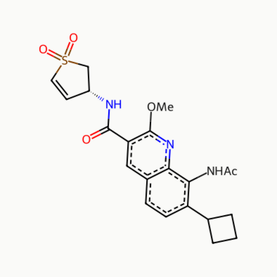 COc1nc2c(NC(C)=O)c(C3CCC3)ccc2cc1C(=O)N[C@@H]1C=CS(=O)(=O)C1